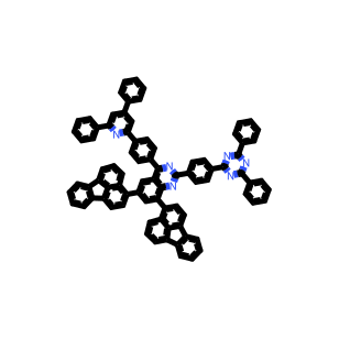 c1ccc(-c2cc(-c3ccccc3)nc(-c3ccc(-c4nc(-c5ccc(-c6nc(-c7ccccc7)nc(-c7ccccc7)n6)cc5)nc5c(-c6ccc7c8c(cccc68)-c6ccccc6-7)cc(-c6ccc7c8c(cccc68)-c6ccccc6-7)cc45)cc3)c2)cc1